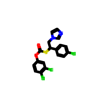 O=C(Oc1ccc(Cl)c(Cl)c1)SC(Cn1ccnc1)c1ccc(Cl)cc1